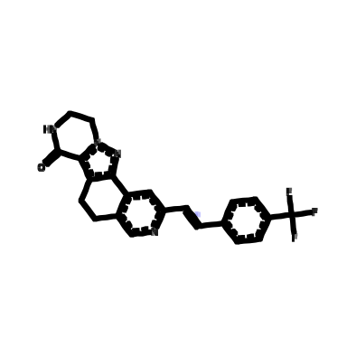 O=C1NCCn2nc3c(c21)CCc1cnc(/C=C/c2ccc(C(F)(F)F)cc2)cc1-3